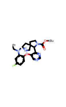 CC(C)CN(C)c1cc(F)ccc1Oc1cncnc1C1N(C(=O)OC(C)(C)C)CCC12CCNC2